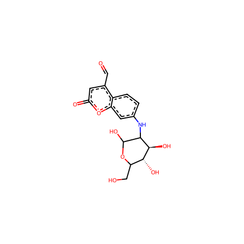 O=Cc1cc(=O)oc2cc(NC3C(O)OC(CO)[C@@H](O)[C@@H]3O)ccc12